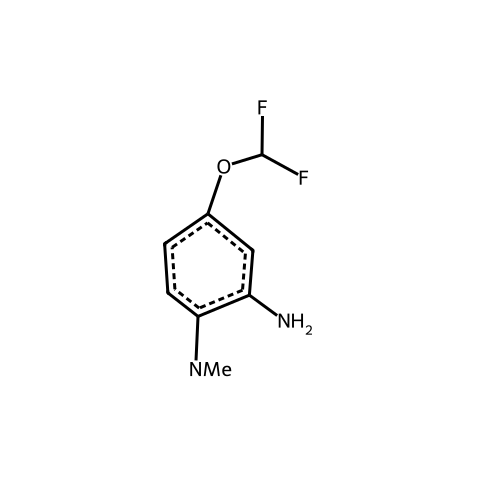 CNc1ccc(OC(F)F)cc1N